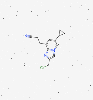 N#CCCc1cc(C2CC2)cn2cc(CCl)nc12